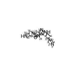 CN1CCN(c2ccc(Nc3ncc4cc(N5CCC6CNCC6C5)c(=O)n(C)c4n3)cc2)CC1